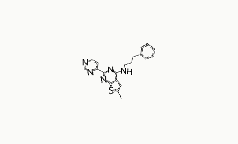 Cc1cc2c(NCCCc3ccccc3)nc(-c3ccncn3)nc2s1